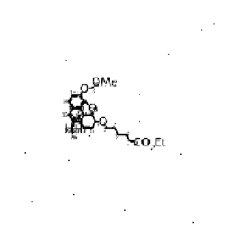 CCOC(=O)CCCCCOC1C=C[C@H]2[C@H]3Cc4ccc(OCOC)c5c4[C@@]2(CCN3C)C1O5